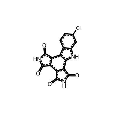 O=c1[nH]c(=O)c2c1c1[nH]c3cc(Cl)ccc3c1c1c(=O)[nH]c(=O)c21